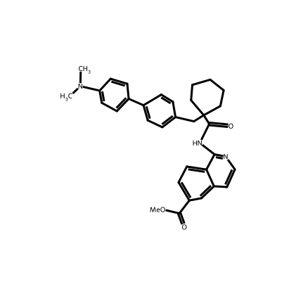 COC(=O)c1ccc2c(NC(=O)C3(Cc4ccc(-c5ccc(N(C)C)cc5)cc4)CCCCC3)nccc2c1